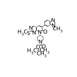 CSc1ncc2cc(-c3ccc4ncn(C)c4c3)c(=O)n(C3CCN(C(=O)OC(C)(C)C)CC3)c2n1